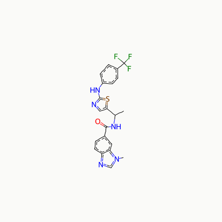 CC(NC(=O)c1ccc2ncn(C)c2c1)c1cnc(Nc2ccc(C(F)(F)F)cc2)s1